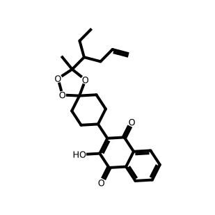 C=CCC(CC)C1(C)OOC2(CCC(C3=C(O)C(=O)c4ccccc4C3=O)CC2)O1